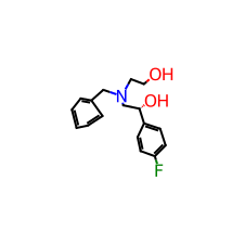 OCCN(Cc1ccccc1)C[C@H](O)c1ccc(F)cc1